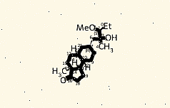 CC[C@H](OC)C(C)(O)C[C@@H]1CC[C@@H]2[C@H](CC[C@]3(C)C(=O)CC[C@@H]23)C1